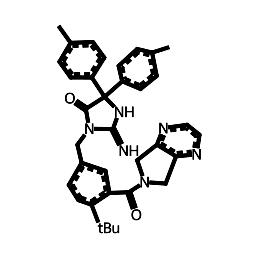 Cc1ccc(C2(c3ccc(C)cc3)NC(=N)N(Cc3ccc(C(C)(C)C)c(C(=O)N4Cc5nccnc5C4)c3)C2=O)cc1